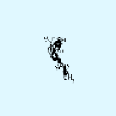 COCC(=O)NCC=Cc1ccc2ncnc(Nc3ccc(O)c(C)c3)c2c1